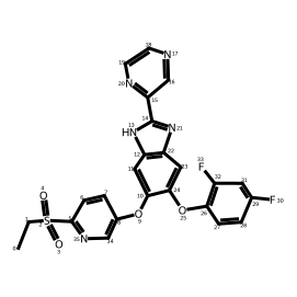 CCS(=O)(=O)c1ccc(Oc2cc3[nH]c(-c4cnccn4)nc3cc2Oc2ccc(F)cc2F)cn1